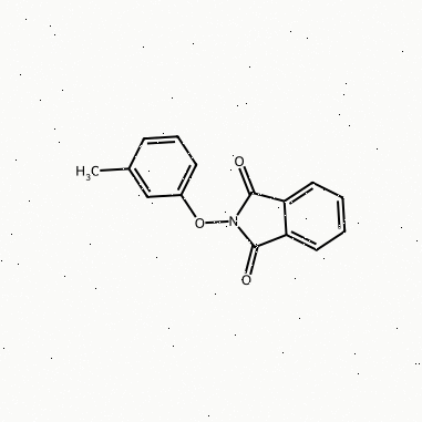 Cc1cccc(ON2C(=O)c3ccccc3C2=O)c1